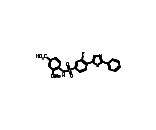 COc1cc(C(=O)O)ccc1NS(=O)(=O)c1ccc(-c2cnc(-c3ccccc3)s2)c(F)c1